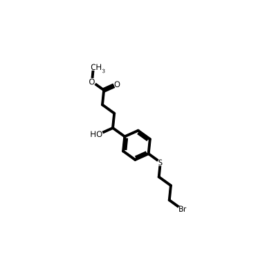 COC(=O)CCC(O)c1ccc(SCCCBr)cc1